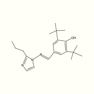 CCCc1nccn1N=Cc1cc(C(C)(C)C)c(O)c(C(C)(C)C)c1